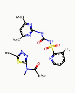 CNC(=O)N(C)c1nnc(C(C)(C)C)s1.COc1cc(OC)nc(NC(=O)NS(=O)(=O)c2ncccc2C(F)(F)F)n1